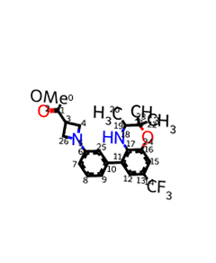 COC(=O)C1CN(c2cccc(-c3cc(C(F)(F)F)cc4c3NC(C)C(C)(C)O4)c2)C1